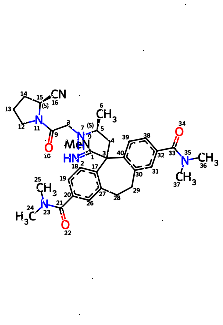 CNC(=N)C1(C[C@H](C)NCC(=O)N2CCC[C@H]2C#N)c2ccc(C(=O)N(C)C)cc2CCc2cc(C(=O)N(C)C)ccc21